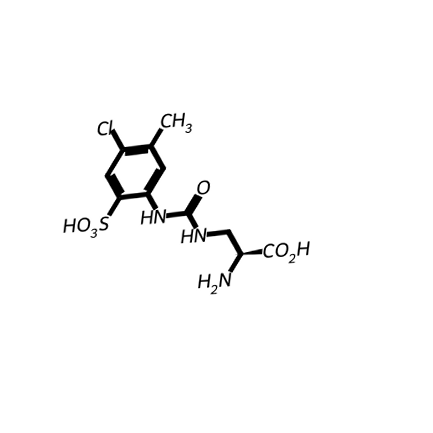 Cc1cc(NC(=O)NC[C@H](N)C(=O)O)c(S(=O)(=O)O)cc1Cl